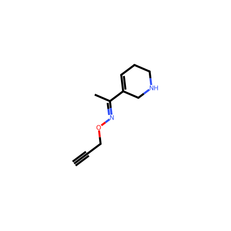 C#CCON=C(C)C1=CCCNC1